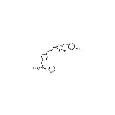 Cc1ccc(O[C@@](C)(Cc2ccc(OCC[C@H]3CN(Cc4ccc(C(F)(F)F)cc4)C(=O)N3C)cc2)C(=O)O)cc1